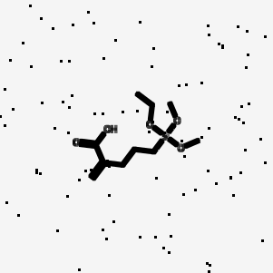 C=C(CCC[Si](OC)(OC)OCC)C(=O)O